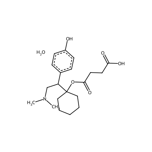 CN(C)CC(c1ccc(O)cc1)C1(OC(=O)CCC(=O)O)CCCCC1.O